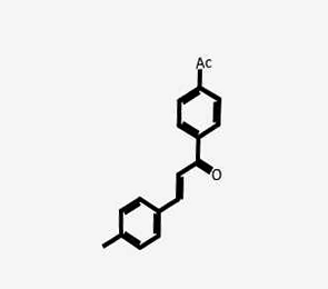 CC(=O)c1ccc(C(=O)/C=C/c2ccc(C)cc2)cc1